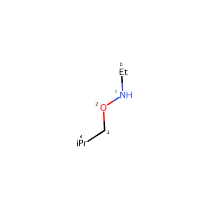 CCNOCC(C)C